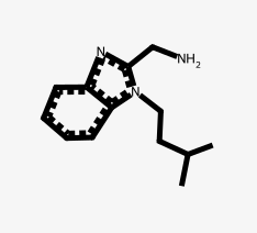 CC(C)CCn1c(CN)nc2ccccc21